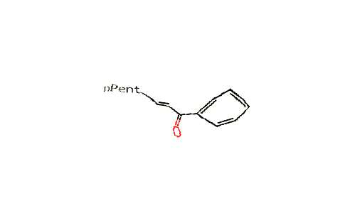 CCCCC/C=C/C(=O)c1ccccc1